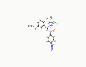 COc1ccc2c(c1)C(=CC(=O)c1ccc(C#N)cc1)NC(C)(C)S2